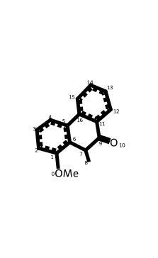 COc1cccc2c1C(C)C(=O)c1ccccc1-2